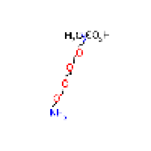 CN(CCOCCOCCOCCOCCN)C(=O)O